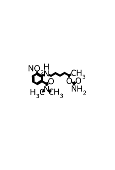 CC(CCCCNc1c(C(=O)N(C)C)cccc1[N+](=O)[O-])OC(N)=O